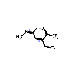 C=C(/C(=C\C(F)=N/C)CC#N)C(F)(F)F